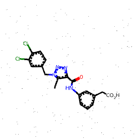 Cc1c(C(=O)Nc2cccc(CC(=O)O)c2)nnn1Cc1ccc(Cl)c(Cl)c1